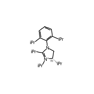 CC(C)C1=[N+](C(C)C)[C@@H](C(C)C)CN1c1c(C(C)C)cccc1C(C)C